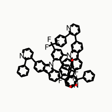 Fc1cc(F)cc(-c2c(-n3c4cc(-c5cccnc5-c5ccccc5)ccc4c4ccc(-c5cccnc5-c5ccccc5)cc43)cc(C(F)(F)F)cc2-n2c3cc(-c4cccnc4-c4ccccc4)ccc3c3ccc(-c4cccnc4-c4ccccc4)cc32)c1